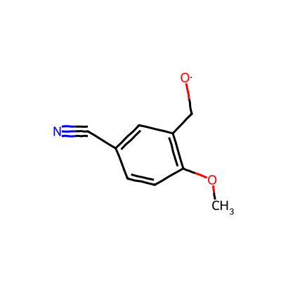 COc1ccc(C#N)cc1C[O]